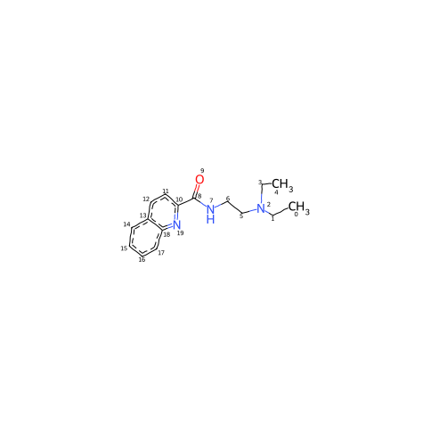 CCN(CC)CCNC(=O)c1ccc2ccccc2n1